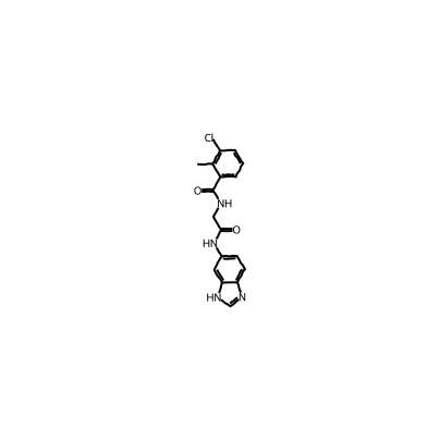 Cc1c(Cl)cccc1C(=O)NCC(=O)Nc1ccc2nc[nH]c2c1